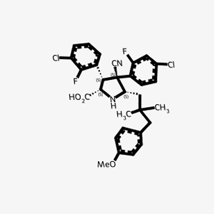 COc1ccc(CC(C)(C)C[C@@H]2N[C@H](C(=O)O)[C@H](c3cccc(Cl)c3F)[C@]2(C#N)c2ccc(Cl)cc2F)cc1